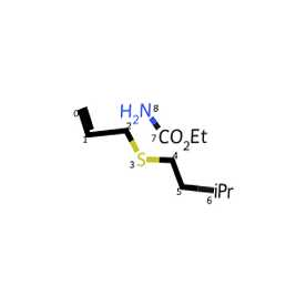 C=CCSCCC(C)C.CCOC(N)=O